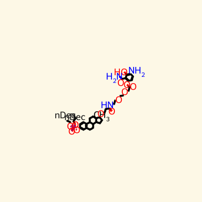 CCCCCCCCCCCCOP(=O)(OCCCCCCCCCCCC)Oc1ccc2c(c1)CCC1C2CCC2(C)C(OCCC(=O)NCCOCCOCC(=O)Oc3ccc(N)c(O)c3C(N)=O)CCC12